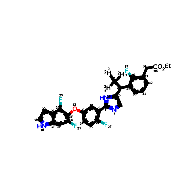 [2H]C([2H])([2H])C(c1cnc(-c2cc(Oc3c(F)cc4[nH]ccc4c3F)ccc2F)[nH]1)c1cccc(CC(=O)OCC)c1F